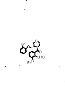 CCOc1cccc(C(=O)N2CCOC[C@H]2COc2ccccc2Br)c1C=O